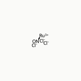 O=[N][Ru+3].[Cl-].[Cl-].[Cl-]